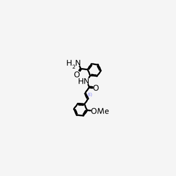 COc1ccccc1/C=C/C(=O)Nc1ccccc1C(N)=O